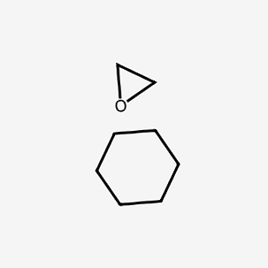 C1CCCCC1.C1CO1